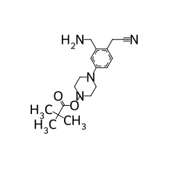 CC(C)(C)C(=O)ON1CCN(c2ccc(CC#N)c(CN)c2)CC1